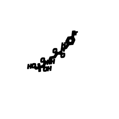 CC(C)(CO)C(O)C(=O)NCCC(=O)C(=O)NCc1ccc(Br)cc1